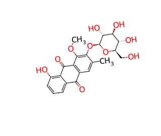 COc1c(O[C@@H]2O[C@H](CO)[C@@H](O)[C@H](O)[C@H]2O)c(C)cc2c1C(=O)c1c(O)cccc1C2=O